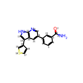 NC(=O)c1cccc(-c2cnc3[nH]cc(-c4ccsc4)c3c2)c1